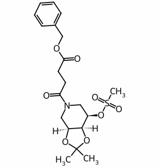 CC1(C)O[C@H]2[C@H](CN(C(=O)CCC(=O)OCc3ccccc3)C[C@H]2OS(C)(=O)=O)O1